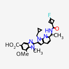 COc1cc(C(=O)O)cc2nc(-c3cc4ccc([C@@H](C)NC(=O)C56CC(F)(C5)C6)nc4n3CC3CC3)n(C)c12